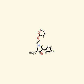 O=C(O)c1cn(CCOC2CCCCO2)cc(-c2ccc(F)cc2)c1=O